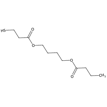 CCCC(=O)OCCCCOC(=O)CCS